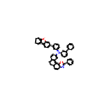 c1ccc(-c2cccc(N(c3cccc(-c4ccc5c(c4)oc4ccccc45)c3)c3ccc4ccc5ccc6nc(-c7ccccc7)oc6c5c4c3)c2)cc1